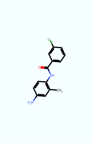 Cc1cc(N)ccc1NC(=O)c1cccc(Cl)c1